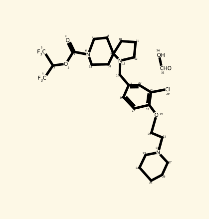 O=C(OC(C(F)(F)F)C(F)(F)F)N1CCC2(CCCN2Cc2ccc(OCCN3CCCCC3)c(Cl)c2)CC1.O=CO